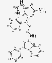 Nc1cc(C(CCN[C@H]2C[C@@H](c3ccccc3)c3ccccc32)c2ccccc2)c2nn[nH]c2n1